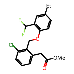 CCc1ccc(OCc2c(Cl)cccc2CC(=O)OC)c(C(F)F)c1